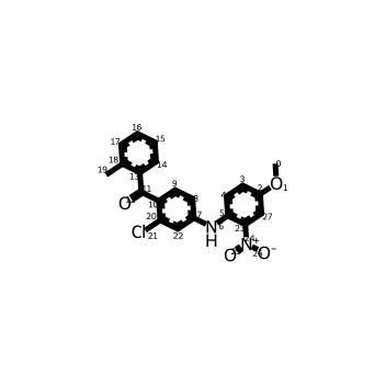 COc1ccc(Nc2ccc(C(=O)c3ccccc3C)c(Cl)c2)c([N+](=O)[O-])c1